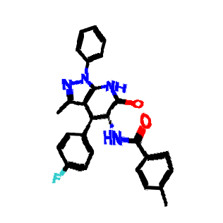 Cc1ccc(C(=O)N[C@H]2C(=O)Nc3c(c(C)nn3-c3ccccc3)[C@@H]2c2ccc(F)cc2)cc1